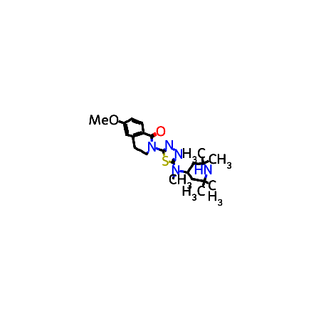 COc1ccc2c(c1)CCN(c1nnc(N(C)C3CC(C)(C)NC(C)(C)C3)s1)C2=O